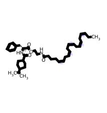 CC/C=C\C/C=C\C/C=C\C/C=C\C/C=C\CCCC(=O)NCCOC(=O)[C@@H](Cc1ccccc1)NC(=O)C1CCC(C(C)C)CC1